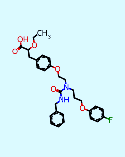 CCOC(Cc1ccc(OCCN(CCCOc2ccc(F)cc2)C(=O)NCc2ccccc2)cc1)C(=O)O